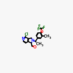 Cc1cc(C(C)N2Cc3c(ccnc3Cl)C2C=O)ccc1OC(F)(F)F